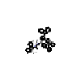 C=C/C(=C\C=C(/C)N(c1ccc(-c2cc3ccccc3c3ccccc23)cc1)c1ccc2c(c1)C(c1ccccc1)(c1ccccc1)c1ccccc1-2)c1cc2ccccc2c2ccccc12